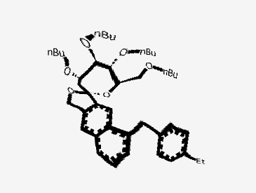 CCCCOC[C@H]1O[C@]2(OCc3cc4cccc(Cc5ccc(CC)cc5)c4cc32)[C@H](OCCCC)[C@@H](OCCCC)[C@@H]1OCCCC